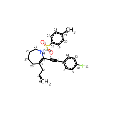 C=CCC1=C(C#Cc2ccc(F)cc2)N(S(=O)(=O)c2ccc(C)cc2)CCCC1